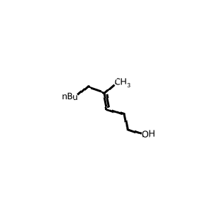 CCCCCC(C)=CCCO